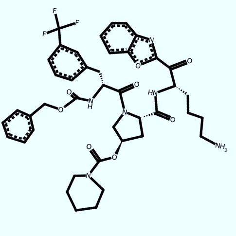 NCCCC[C@H](NC(=O)[C@@H]1C[C@@H](OC(=O)N2CCCCC2)CN1C(=O)[C@@H](Cc1cccc(C(F)(F)F)c1)NC(=O)OCc1ccccc1)C(=O)c1nc2ccccc2o1